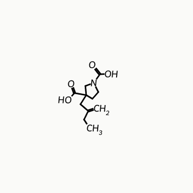 C=C(CC)CC1(C(=O)O)CCN(C(=O)O)C1